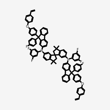 C=Cc1ccc(Oc2ccc(C3(c4ccc(F)cc4)c4ccccc4-c4ccc(N(c5cc(F)cc(F)c5)c5ccc6c(c5)C5(CC6(C)C)CC(C)(C)c6ccc(N(c7cc(F)cc(F)c7)c7ccc8c(c7)C(c7ccc(F)cc7)(c7ccc(Oc9ccc(C=C)cc9)cc7)c7ccccc7-8)cc65)cc43)cc2)cc1